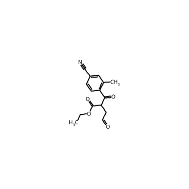 CCOC(=O)C(CC=O)C(=O)c1ccc(C#N)cc1C